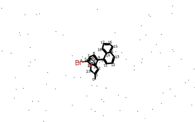 CC1=C2c3c(c(Br)cc(c3-c3cccc4ccccc34)[Si]2(C)C)[CH]1